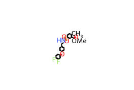 COC(=O)c1cc(S(=O)(=O)NCCc2ccc(Oc3ccc(F)c(F)c3)cc2)ccc1C